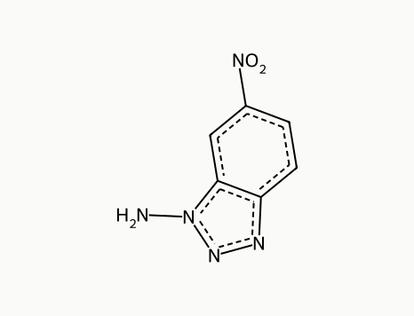 Nn1nnc2ccc([N+](=O)[O-])cc21